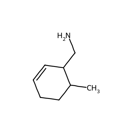 CC1CCC=CC1CN